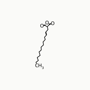 CCCCCCCCCCCC/C=C/CC1C(=O)OC1=O